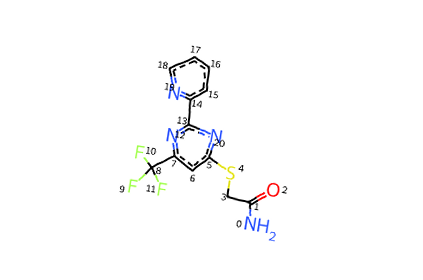 NC(=O)CSc1cc(C(F)(F)F)nc(-c2ccccn2)n1